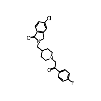 O=C(CN1CCC(CN2Cc3cc(Cl)ccc3C2=O)CC1)c1ccc(F)cc1